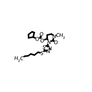 CCCCCCSc1nnc(N2C(=O)N(C)CCC2OC(=O)OC2CCCC2)s1